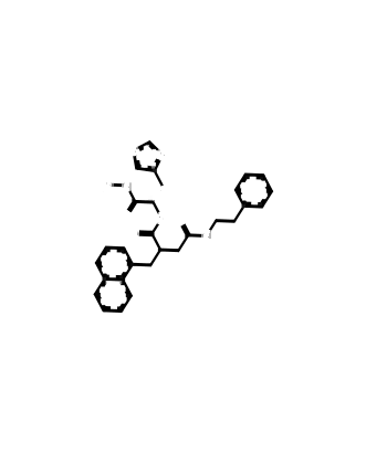 NNC(=O)[C@H](Cc1c[nH]cn1)NC(=O)C(CC(=O)NCCc1ccccc1)Cc1cccc2ccccc12